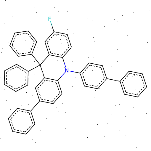 Fc1ccc2c(c1)C(c1ccccc1)(c1ccccc1)c1cc(-c3ccccc3)ccc1N2c1ccc(-c2ccccc2)cc1